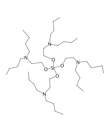 CCCCN(CCCC)CCO[Si](OCCN(CCCC)CCCC)(OCCN(CCCC)CCCC)OCCN(CCCC)CCCC